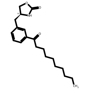 CCCCCCCCCC(=O)c1cccc(C[C@H]2COC(=O)N2)c1